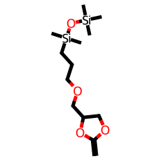 C=C1OCC(COCCC[Si](C)(C)O[Si](C)(C)C)O1